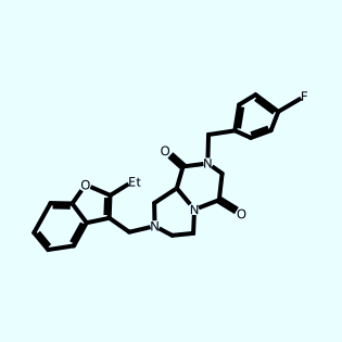 CCc1oc2ccccc2c1CN1CCN2C(=O)CN(Cc3ccc(F)cc3)C(=O)C2C1